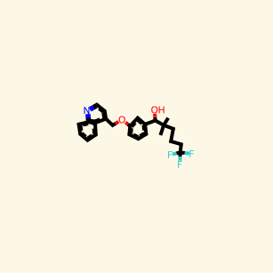 CC(C)(CCCC(F)(F)F)C(O)c1cccc(OCc2ccnc3ccccc23)c1